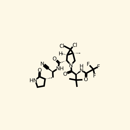 CC(C)(C)[C@H](NC(=O)C(F)(F)F)C(=O)N1C[C@@]2(C)[C@@H]([C@H]1C(=O)N[C@H](C#N)C[C@@H]1CCNC1=O)C2(Cl)Cl